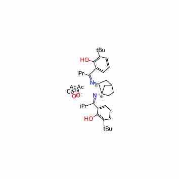 CC(=O)[O-].CC(=O)[O-].CC(C)C(=N[C@H]1CC2CC[C@]1(N=C(c1cccc(C(C)(C)C)c1O)C(C)C)C2)c1cccc(C(C)(C)C)c1O.[Co+2]